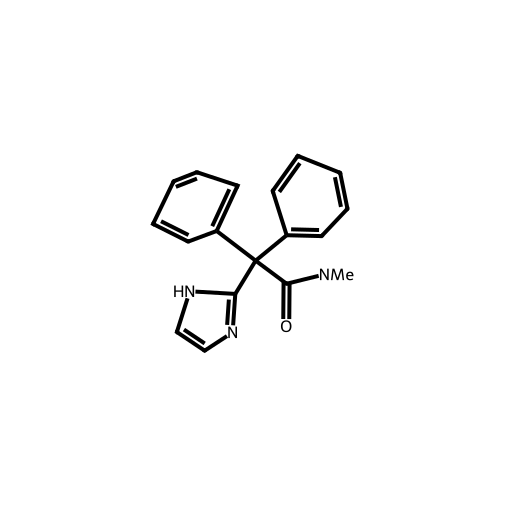 CNC(=O)C(c1ccccc1)(c1ccccc1)c1ncc[nH]1